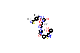 Cc1ncsc1-c1ccc([C@H](C)NC(=O)[C@@H]2C[C@@H](O)CN2C(=O)[C@@H](c2cc(N3C[C@H]4C[C@@H]3CN4C(=O)[C@@H]3CCc4sc5nnc(-c6ccccc6O)cc5c4C3)no2)C(C)C)cc1